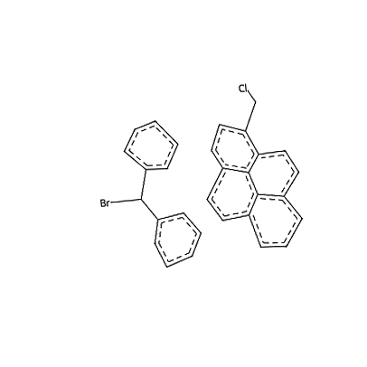 BrC(c1ccccc1)c1ccccc1.ClCc1ccc2ccc3cccc4ccc1c2c34